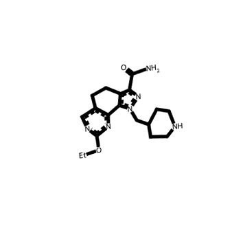 CCOc1ncc2c(n1)-c1c(c(C(N)=O)nn1CC1CCNCC1)CC2